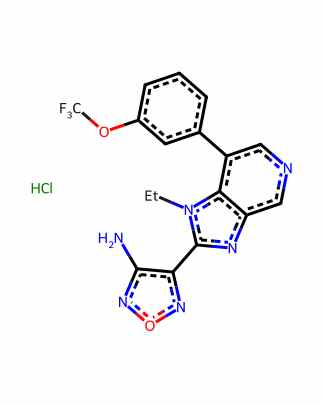 CCn1c(-c2nonc2N)nc2cncc(-c3cccc(OC(F)(F)F)c3)c21.Cl